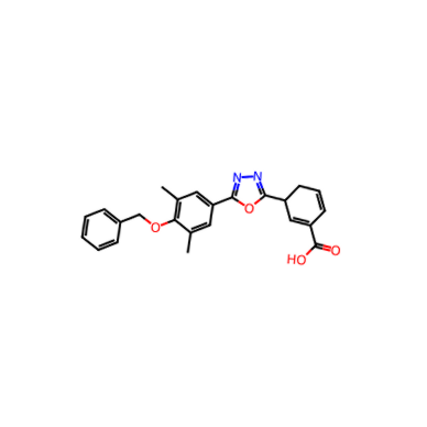 Cc1cc(-c2nnc(C3C=C(C(=O)O)C=CC3)o2)cc(C)c1OCc1ccccc1